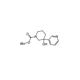 CC(C)(C)OC(=O)N1CCCC(O)(c2cccnc2)C1